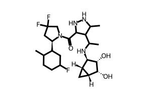 CC1CCC(F)CC1[C@H]1CC(F)(F)CN1C(=O)C1NNC(C)C1C(C)N[C@H]1[C@H](O)[C@H](O)[C@@H]2C[C@@H]21